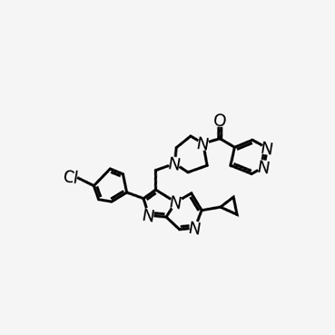 O=C(c1ccnnc1)N1CCN(Cc2c(-c3ccc(Cl)cc3)nc3cnc(C4CC4)cn23)CC1